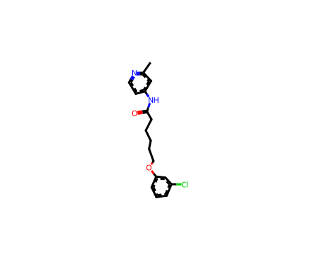 Cc1cc(NC(=O)CCCCCOc2cccc(Cl)c2)ccn1